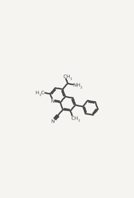 Cc1cc(C(C)N)c2cc(-c3ccccc3)c(C)c(C#N)c2n1